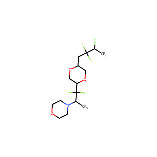 FC(C(F)(F)F)C(F)(F)CC1COC(C(F)(F)C(N2CCOCC2)C(F)(F)F)CO1